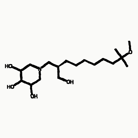 COC(C)(C)CCCCCC[C@@H](CO)CN1CC(O)C(O)C(O)C1